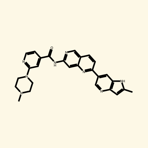 Cc1cc2ncc(-c3ccc4cnc(NC(=O)c5ccnc(N6CCN(C)CC6)c5)cc4n3)cc2[nH]1